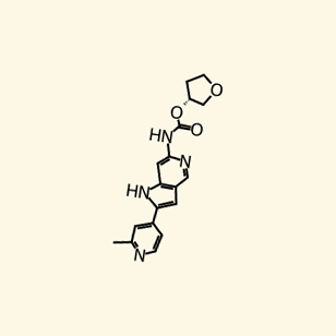 Cc1cc(-c2cc3cnc(NC(=O)O[C@@H]4CCOC4)cc3[nH]2)ccn1